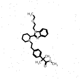 CCOCCn1c(C2CCCCN2CCc2ccc(C(C)(C)C(=O)OC)cc2)nc2ccccc21